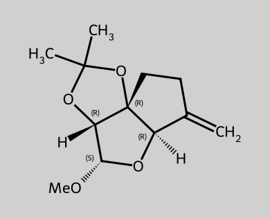 C=C1CC[C@]23OC(C)(C)O[C@H]2[C@@H](OC)O[C@H]13